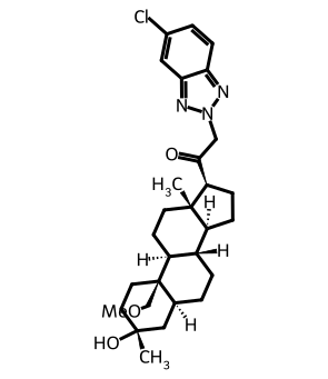 COC[C@]12CC[C@@](C)(O)C[C@@H]1CC[C@H]1[C@@H]3CC[C@H](C(=O)Cn4nc5ccc(Cl)cc5n4)[C@@]3(C)CC[C@@H]12